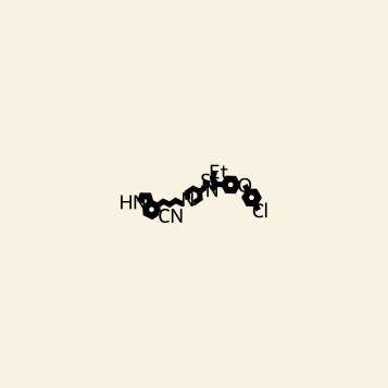 CCc1sc(C2CCN(CCCCc3c(C#N)ccc4[nH]ccc34)CC2)nc1-c1ccc(Oc2ccc(Cl)cc2)cc1